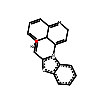 BrC1=CC=CC2=NCC=C3n4c(nc5ccccc54)C=CC132